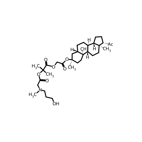 CC(=O)[C@H]1CC[C@H]2[C@@H]3CC[C@H]4C[C@](C)(OC(=O)COC(=O)C(C)(C)OC(=O)CN(C)CCCO)CC[C@]4(C)[C@H]3CC[C@]12C